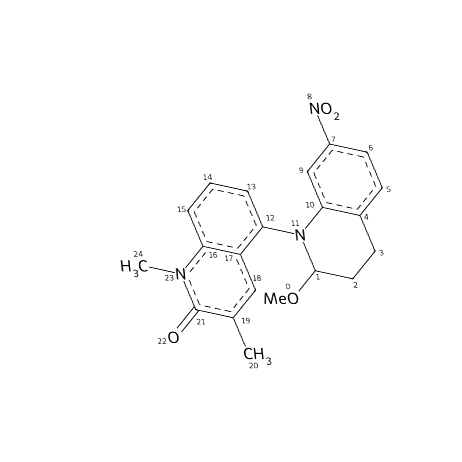 COC1CCc2ccc([N+](=O)[O-])cc2N1c1cccc2c1cc(C)c(=O)n2C